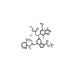 CCOC(=O)CC(c1cc(CN2C[C@@H](CC)Oc3cccnc3[C@@H]2C)c2ccn(C(=O)OC(C)(C)C)c2c1)c1cc(C2CC2)c2c(nnn2C)c1C